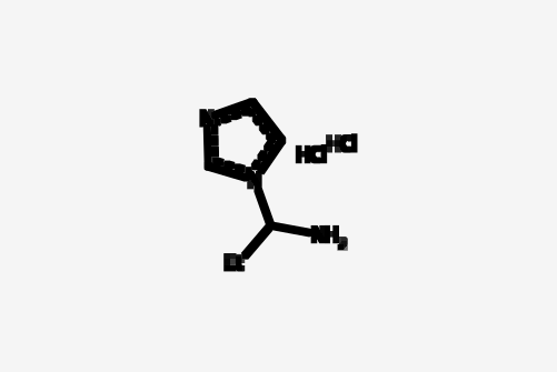 CCC(N)n1ccnc1.Cl.Cl